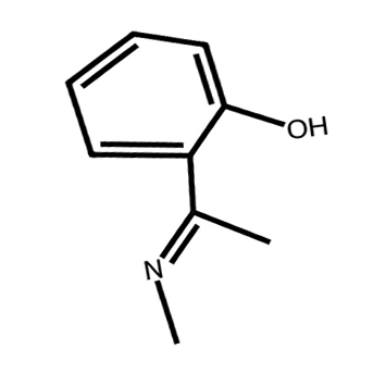 C/N=C(\C)c1ccccc1O